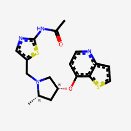 CC(=O)Nc1ncc(CN2C[C@H](Oc3ccnc4ccsc34)C[C@@H]2C)s1